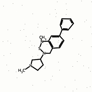 CN1CCC(N2Cc3ccc(-c4ccccc4)cc3N(C)S2)C1